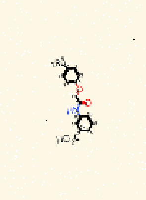 CC(C)(C)c1ccc(OCC(=O)NC2=C[C@H](C(=O)O)CC=C2)cc1